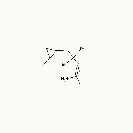 B/C(C)=C(/C)C(CC)(CC)CC1CC1C